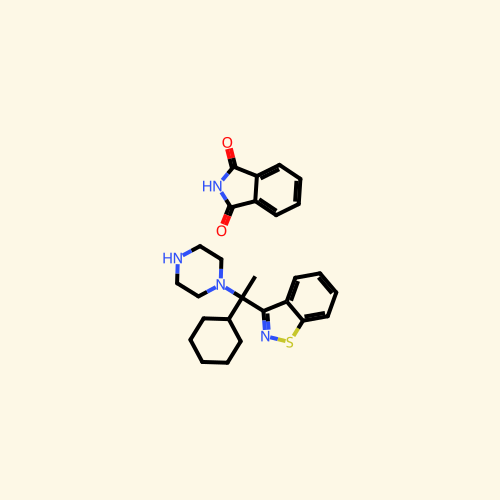 CC(c1nsc2ccccc12)(C1CCCCC1)N1CCNCC1.O=C1NC(=O)c2ccccc21